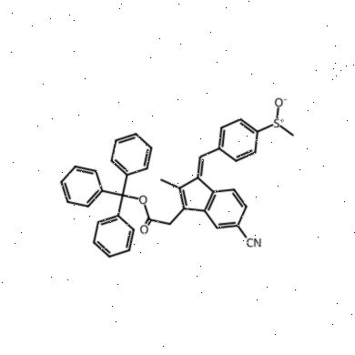 CC1=C(CC(=O)OC(c2ccccc2)(c2ccccc2)c2ccccc2)c2cc(C#N)ccc2C1=Cc1ccc([S+](C)[O-])cc1